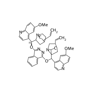 C=CC1CN2CCC1CC2C(Oc1nnc(O[C@@H](c2ccnc3ccc(OC)cc23)C2CC3CCN2CC3C=C)c2ccccc12)c1ccnc2ccc(OC)cc12